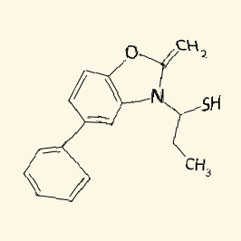 C=C1Oc2ccc(-c3ccccc3)cc2N1C(S)CC